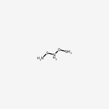 NS[SiH2]O[SiH3]